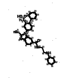 CCCCc1nc2ccc(C(=O)NCCNc3ccccc3)cc2n1-c1ccc(-c2ccccc2C(=O)O)c(C)c1